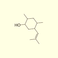 CC(C)=CC1CC(O)C(C)CC1C